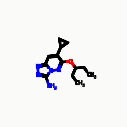 CCC(CC)Oc1nn2c(N)nnc2cc1C1CC1